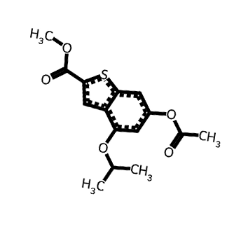 COC(=O)c1cc2c(OC(C)C)cc(OC(C)=O)cc2s1